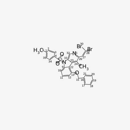 Cc1ccc(S(=O)(=O)n2c3cccc(OCc4ccccc4)c3c3c(C)c(C=C(Br)Br)ncc32)cc1